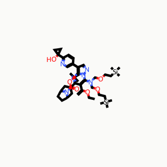 C=C(OCC)c1c(C2CC3CCC(C2)N3C(=O)OC(C)(C)C)nc2c(-c3ccc(C4(O)CC4)nc3)cnn2c1N(COCC[Si](C)(C)C)COCC[Si](C)(C)C